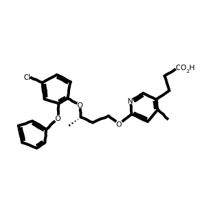 Cc1cc(OCC[C@H](C)Oc2ccc(Cl)cc2Oc2ccccc2)ncc1CCC(=O)O